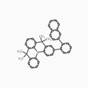 CC1(C)c2ccccc2N2c3ccc(-c4ccccc4-c4ccc5ccccc5c4)cc3C(C)(C)c3cccc1c32